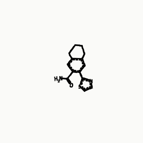 NC(=O)c1cc2c(cc1-c1nccs1)CCCC2